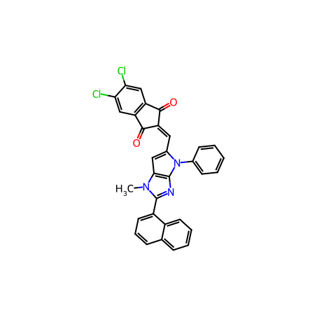 Cn1c(-c2cccc3ccccc23)nc2c1cc(C=C1C(=O)c3cc(Cl)c(Cl)cc3C1=O)n2-c1ccccc1